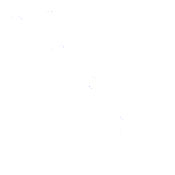 COc1cc(N=Nc2ccc(N=Nc3ccc(N=Nc4ccc(S(=O)(=O)O)cc4)c(C)c3)c3cc(S(=O)(=O)O)ccc23)c(C)cc1N